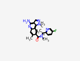 Cc1cc2nc(N)c3cnn(C)c3c2cc1C(=O)N(C)[C@H](C)c1ccc(F)cn1